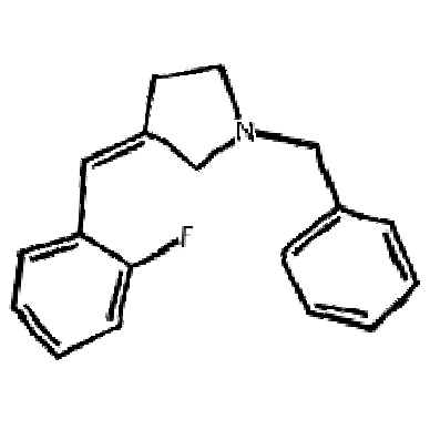 Fc1ccccc1/C=C1/CCN(Cc2ccccc2)C1